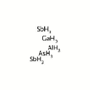 [AlH3].[AsH3].[GaH3].[SbH3].[SbH3]